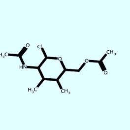 CC(=O)NC1C(Cl)OC(COC(C)=O)C(C)C1C